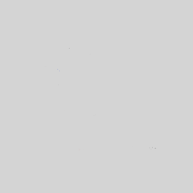 COc1ccc2c(O)c(-c3ccc(C=C4SC(=S)N(C5CC6CCC5C6)C4=O)o3)c(=O)oc2c1